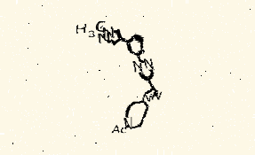 CC(=O)N1CCCC(n2cc(-c3cnc(-c4cccc(-c5cnn(C)c5)c4)nc3)cn2)CC1